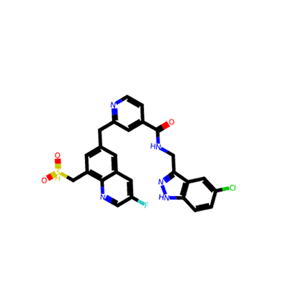 O=C(NCc1n[nH]c2ccc(Cl)cc12)c1ccnc(Cc2cc(C[SH](=O)=O)c3ncc(F)cc3c2)c1